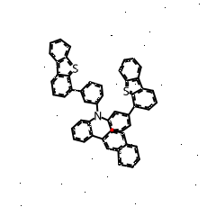 c1cc(-c2cccc3c2sc2ccccc23)cc(N(c2cccc(-c3cccc4c3sc3ccccc34)c2)c2ccccc2-c2ccc3ccccc3c2)c1